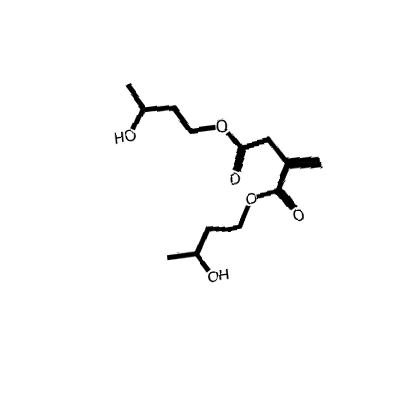 C=C(CC(=O)OCCC(C)O)C(=O)OCCC(C)O